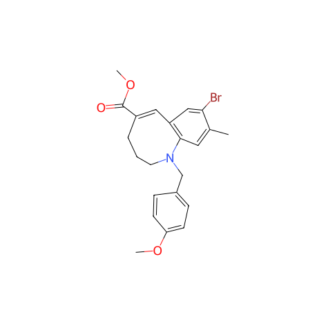 COC(=O)/C1=C/c2cc(Br)c(C)cc2N(Cc2ccc(OC)cc2)CCC1